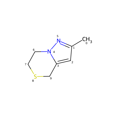 Cc1cc2n(n1)CCSC2